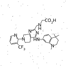 CN1CCC(C)(C)c2ccc(Nc3nc(CNCC(=O)O)nc4c3CCN(c3ncccc3C(F)(F)F)C4)cc21